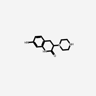 [NH]c1ccc2c(c1)NC(=O)C(N1CCNCC1)C2